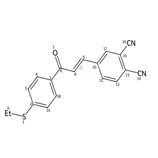 CCSc1ccc(C(=O)/C=C/c2ccc(C#N)c(C#N)c2)cc1